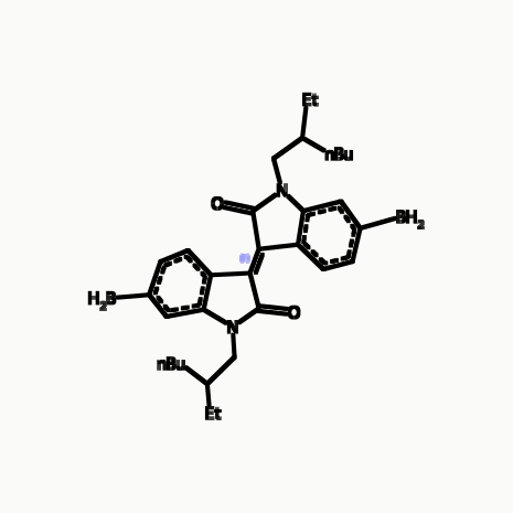 Bc1ccc2c(c1)N(CC(CC)CCCC)C(=O)/C2=C1/C(=O)N(CC(CC)CCCC)c2cc(B)ccc21